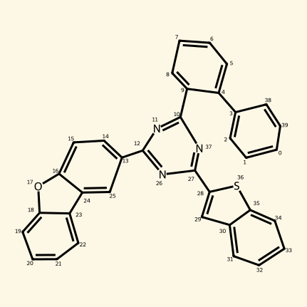 c1ccc(-c2ccccc2-c2nc(-c3ccc4oc5ccccc5c4c3)nc(-c3cc4ccccc4s3)n2)cc1